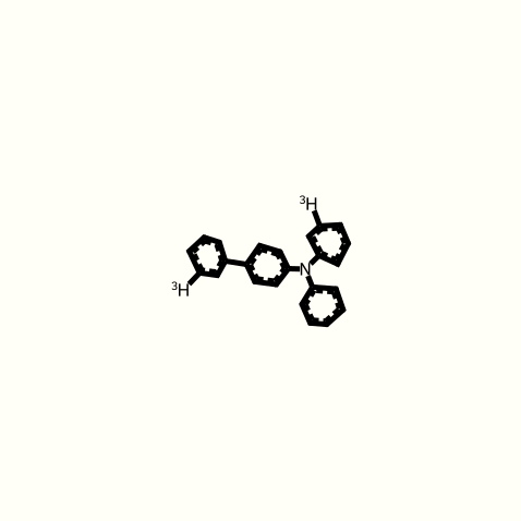 [3H]c1cccc(-c2ccc(N(c3ccccc3)c3cccc([3H])c3)cc2)c1